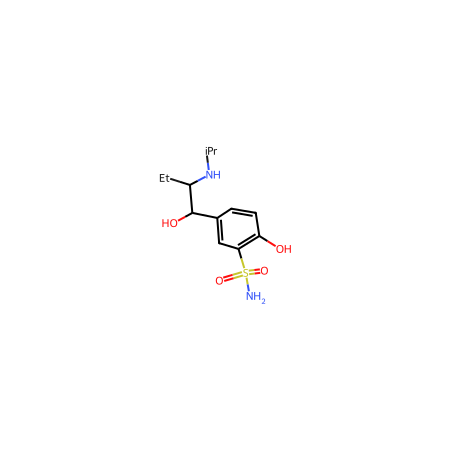 CCC(NC(C)C)C(O)c1ccc(O)c(S(N)(=O)=O)c1